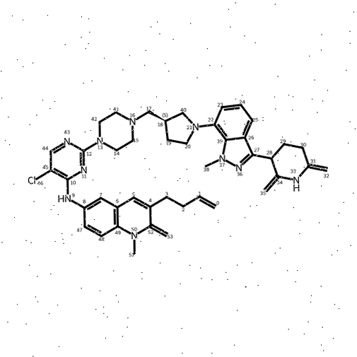 C=CCCC1=Cc2cc(Nc3nc(N4CCN(C[C@@H]5CCN(c6cccc7c(C8CCC(=C)NC8=C)nn(C)c67)C5)CC4)ncc3Cl)ccc2N(C)C1=C